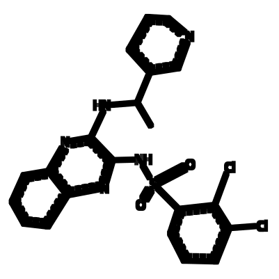 CC(Nc1nc2ccccc2nc1NS(=O)(=O)c1cccc(Cl)c1Cl)c1cccnc1